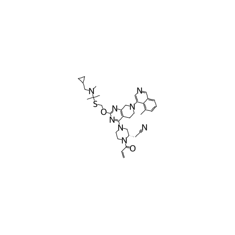 C=CC(=O)N1CCN(c2nc(OCSC(C)(C)N(C)CC3CC3)nc3c2CCN(c2cncc4cccc(C)c24)C3)C[C@@H]1CC#N